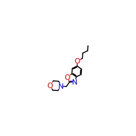 CCCCOc1ccc2nc(CN3CCOCC3)oc2c1